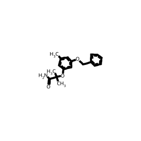 Cc1cc(OCc2ccccc2)cc(OC(C)(C)C(N)=O)c1